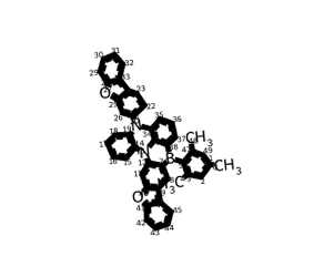 Cc1cc(C)c(B2c3cc4c(cc3N3c5ccccc5N(c5ccc6c(c5)oc5ccccc56)c5cccc2c53)oc2ccccc24)c(C)c1